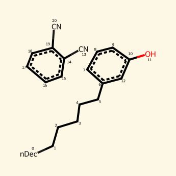 CCCCCCCCCCCCCCCc1cccc(O)c1.N#Cc1ccccc1C#N